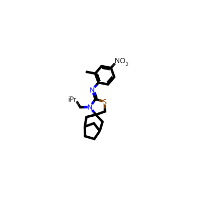 Cc1cc([N+](=O)[O-])ccc1N=C1SCC2(CC3CCC(C3)C2)N1CC(C)C